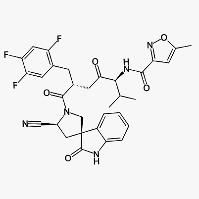 Cc1cc(C(=O)N[C@H](C(=O)C[C@@H](Cc2cc(F)c(F)cc2F)C(=O)N2C[C@]3(C[C@H]2C#N)C(=O)Nc2ccccc23)C(C)C)no1